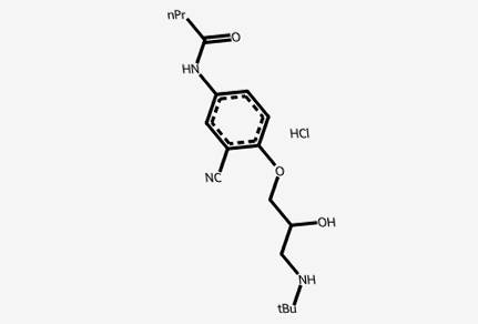 CCCC(=O)Nc1ccc(OCC(O)CNC(C)(C)C)c(C#N)c1.Cl